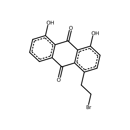 O=C1c2c(O)cccc2C(=O)c2c(CCBr)ccc(O)c21